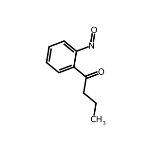 CCCC(=O)c1ccccc1N=O